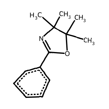 CC1(C)N=C(c2ccccc2)OC1(C)C